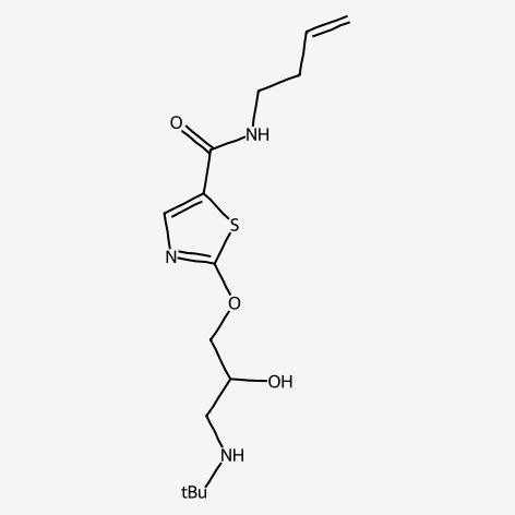 C=CCCNC(=O)c1cnc(OCC(O)CNC(C)(C)C)s1